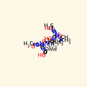 C=CC(=O)N1CCN(c2nc(O[C@H](C)CN(C)Cc3ccc(C)c(N4CCc5c(nc(O[C@H](C)CN(C)C)nc5N5CCN(C(O)C=C)CC5)C4)c3O)nc3c2CCN(c2cc(O)ccc2OC)C3)CC1